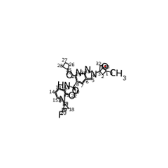 CC12CC(n3cc4cc(C(=O)Nc5cccn([C@@H]6C[C@@H]6F)c5=O)c(OC5CCC5)nc4n3)(CO1)C2